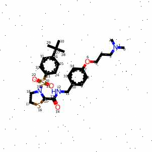 CN(C)CCCOc1ccc(CNC(=O)C2SCCN2S(=O)(=O)c2ccc(C(C)(C)C)cc2)cc1